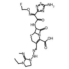 CCN1CCN(NN=CC2=C(C(=O)O)N3C(=O)C(NC(=O)C(=NOCF)c4nsc(N)n4)C3SC2)C1=NC